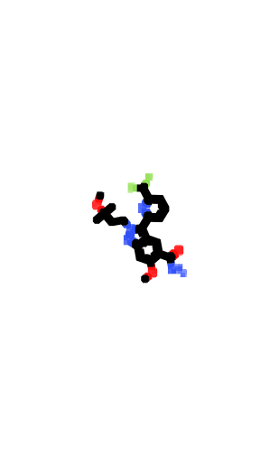 COc1cc2nn(CCC(C)(C)OC)c(-c3cccc(C(F)F)n3)c2cc1C(N)=O